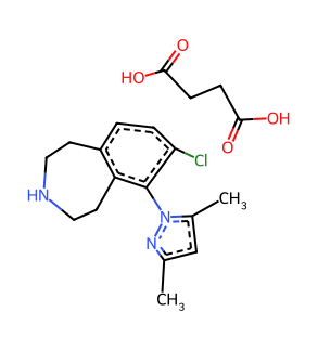 Cc1cc(C)n(-c2c(Cl)ccc3c2CCNCC3)n1.O=C(O)CCC(=O)O